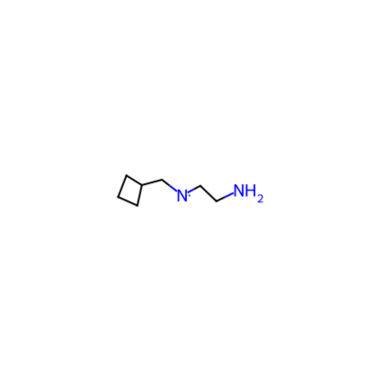 NCC[N]CC1CCC1